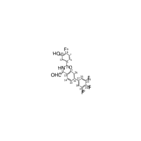 O=CC(NC(=O)c1ccc(F)c(O)c1)c1ccc(-c2cc(F)c(F)c(F)c2)cc1